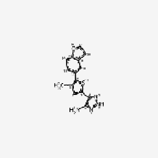 Cc1cc(-c2n[nH]nc2N)sc1-c1ccc2occc2c1